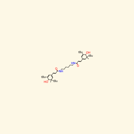 CC(C)(C)C1=CC(C=CC(=O)NCCCCCCNC(=O)C=CC2=CC(C)(C(C)(C)C)C(O)C(C(C)(C)C)=C2)=CC(C)(C(C)(C)C)C1O